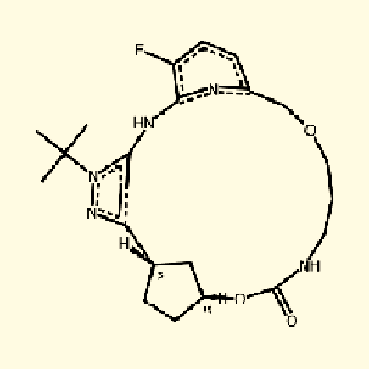 CC(C)(C)n1nc2cc1Nc1nc(ccc1F)COCCCNC(=O)O[C@@H]1CC[C@H]2C1